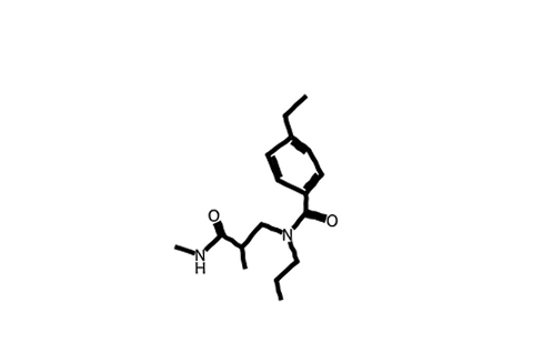 CCCN(CC(C)C(=O)NC)C(=O)c1ccc(CC)cc1